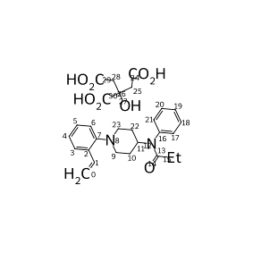 C=Cc1ccccc1N1CCC(N(C(=O)CC)c2ccccc2)CC1.O=C(O)CC(O)(CC(=O)O)C(=O)O